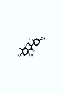 Cc1c(O)cc(O)c2c(=O)c(-c3ccc(O)cc3O)coc12